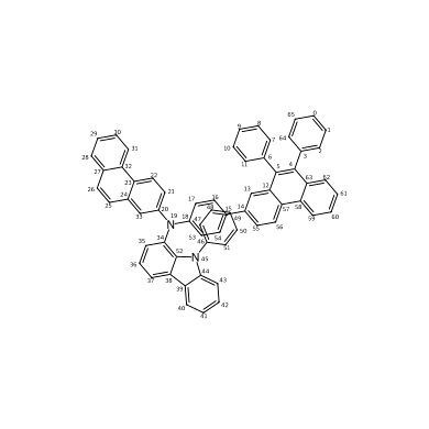 c1ccc(-c2c(-c3ccccc3)c3cc(-c4ccc(N(c5ccc6c(ccc7ccccc76)c5)c5cccc6c7ccccc7n(-c7ccccc7)c56)cc4)ccc3c3ccccc23)cc1